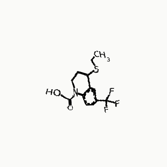 CCSC1CCN(C(=O)O)c2ccc(C(F)(F)F)cc21